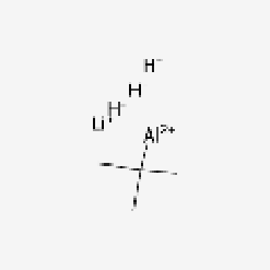 C[C](C)(C)[Al+2].[H-].[H-].[H-].[Li+]